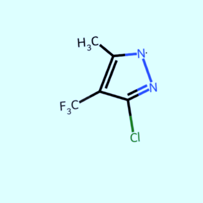 CC1=C(C(F)(F)F)C(Cl)=N[N]1